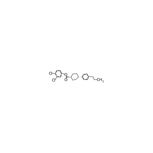 CCCc1ccc([C@H]2CC[C@H](C(=O)Oc3ccc(Cl)c(Cl)c3)CC2)cc1